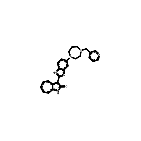 O=c1[nH]c2cccccc-2c1-c1nc2cc(N3CCCN(Cc4cccnc4)CC3)ccc2[nH]1